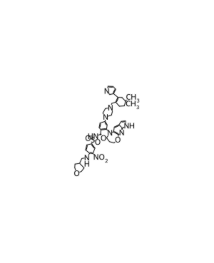 CC1(C)CCC(CN2CCN(c3ccc(C(=O)NS(=O)(=O)c4ccc(NCC5CCOCC5)c([N+](=O)[O-])c4)c(N4CCCOc5nc6[nH]ccc6cc54)c3)CC2)=C(c2cccnc2)C1